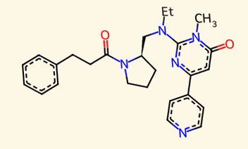 CCN(C[C@H]1CCCN1C(=O)CCc1ccccc1)c1nc(-c2ccncc2)cc(=O)n1C